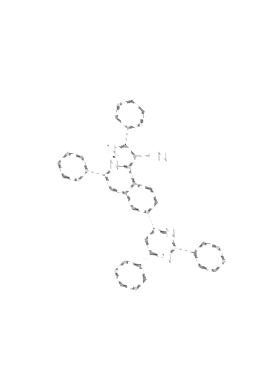 N#Cc1c(-c2ccccc2)nn2c(-c3ccccc3)cc3cc(-c4cc(-c5ccccc5)nc(-c5ccccc5)n4)ccc3c12